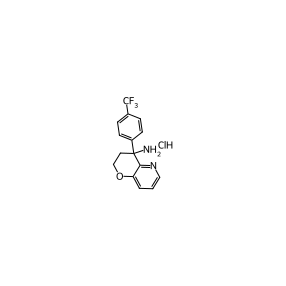 Cl.NC1(c2ccc(C(F)(F)F)cc2)CCOc2cccnc21